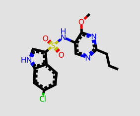 CCCc1ncc(NS(=O)(=O)c2c[nH]c3cc(Cl)ccc23)c(OC)n1